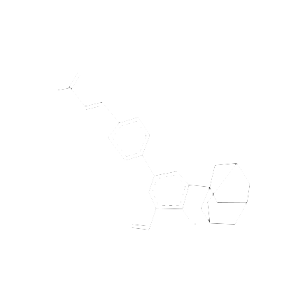 O=Cc1cc(-c2ccc(/C=C/C(=O)O)cc2)cc(C23CC4CC(CC(C4)C2)C3)c1O